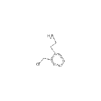 NCCc1ccccc1CCl